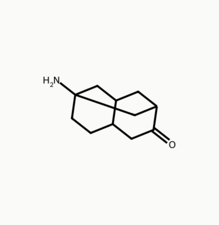 NC12CCC3CC(=O)C(CC3C1)C2